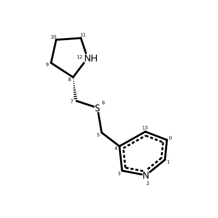 c1cncc(CSC[C@@H]2CCCN2)c1